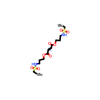 CC(C)(C)CS(=O)(=O)NCCCOC(=O)/C=C/C(=O)OCCCNS(=O)(=O)CC(C)(C)C